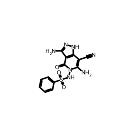 N#Cc1c(N)n(NS(=O)(=O)c2ccccc2)c(=O)c2c(N)n[nH]c12